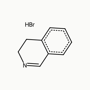 Br.C1=NCCc2ccccc21